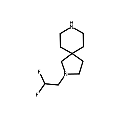 FC(F)CN1CCC2(CCNCC2)C1